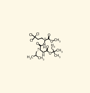 COC(=O)[C@H](CCC(Cl)(Cl)Cl)NC(=O)[C@@H](CC(C)C)NC(=O)OC(C)(C)C